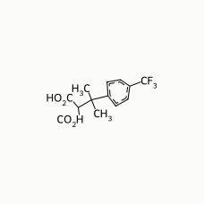 CC(C)(c1ccc(C(F)(F)F)cc1)C(C(=O)O)C(=O)O